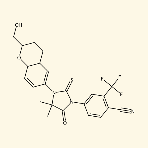 CC1(C)C(=O)N(c2ccc(C#N)c(C(F)(F)F)c2)C(=S)N1C1=CC2CCC(CO)OC2C=C1